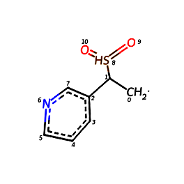 [CH2]C(c1cccnc1)[SH](=O)=O